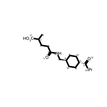 CC(CCC(=O)NC[C@H]1CC[C@H](C(=O)C(C)C)CC1)C(=O)O